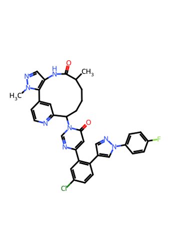 CC1CCCC(n2cnc(-c3cc(Cl)ccc3-c3cnn(-c4ccc(F)cc4)c3)cc2=O)c2cc(ccn2)-c2c(cnn2C)NC1=O